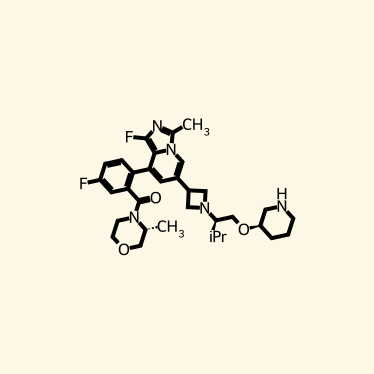 Cc1nc(F)c2c(-c3ccc(F)cc3C(=O)N3CCOC[C@H]3C)cc(C3CN([C@@H](CO[C@@H]4CCCNC4)C(C)C)C3)cn12